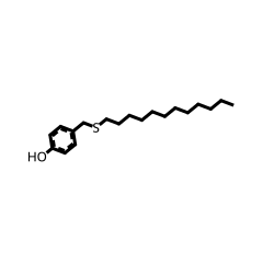 CCCCCCCCCCCCSCc1ccc(O)cc1